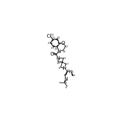 C=N/C(=C\N=C(C)C)N1CC2(CN(C(=O)N3CCOc4cc(Cl)ccc43)C2)C1